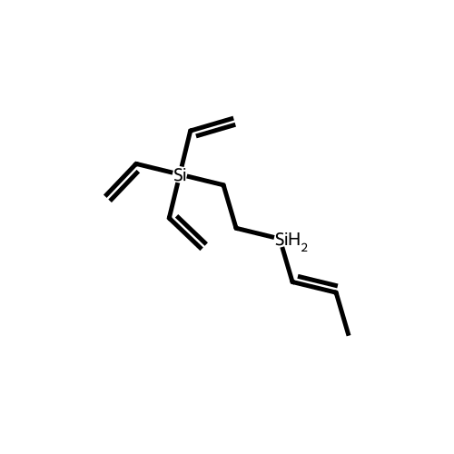 C=C[Si](C=C)(C=C)CC[SiH2]C=CC